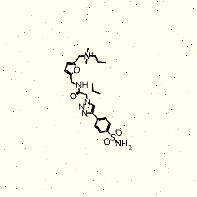 CCC[N+](C)(C)Cc1ccc(CNC(=O)[C@H](C(C)C)n2cc(-c3ccc(S(N)(=O)=O)cc3)nn2)o1